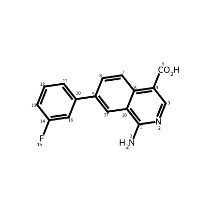 Nc1ncc(C(=O)O)c2ccc(-c3cccc(F)c3)cc12